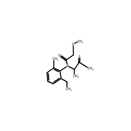 CCc1cccc(C)c1N(C(=O)COC)C(C)C(C)=S